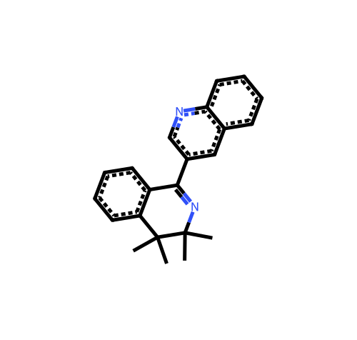 CC1(C)N=C(c2cnc3ccccc3c2)c2ccccc2C1(C)C